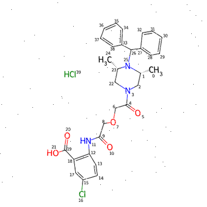 C[C@@H]1CN(C(=O)COCC(=O)Nc2ccc(Cl)cc2C(=O)O)C[C@H](C)N1C(c1ccccc1)c1ccccc1.Cl